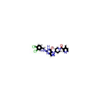 Cc1ccncc1C(=O)N1CCC(n2ncc3nc(NCc4ccc(Cl)c(Cl)c4)[nH]c(=O)c32)CC1